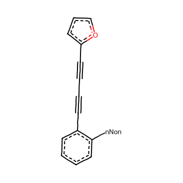 CCCCCCCCCc1ccccc1C#CC#Cc1ccco1